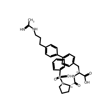 CC(=N)NCCCc1ccc(-c2ccc(C[C@H](NC(=O)[C@@H]3CCCN3S(=O)(=O)c3ccccc3)C(=O)O)cc2)cc1